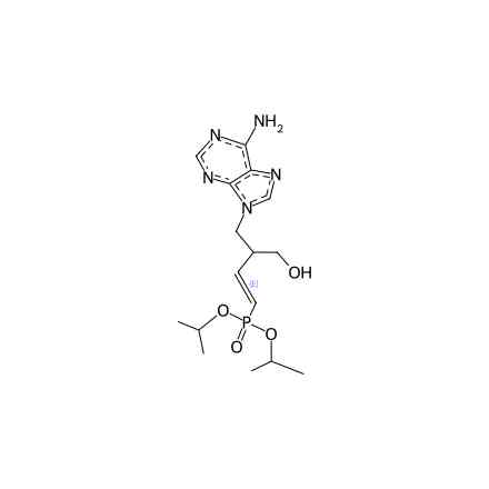 CC(C)OP(=O)(/C=C/C(CO)Cn1cnc2c(N)ncnc21)OC(C)C